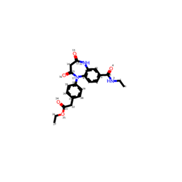 CCNC(=O)c1ccc2c(c1)NC(=O)CC(=O)N2c1ccc(CC(=O)OCC)cc1